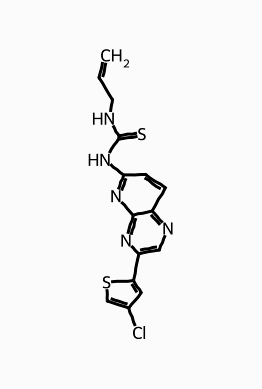 C=CCNC(=S)Nc1ccc2ncc(-c3cc(Cl)cs3)nc2n1